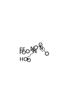 O=C(O)CCCCc1nc2cc(C(=O)N3CCC(c4ccccc4)CC3)ccc2nc1-c1ccc(OC(F)(F)F)cc1